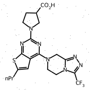 CCCc1cc2c(N3CCn4c(nnc4C(F)(F)F)C3)nc(N3CCC(C(=O)O)C3)nc2s1